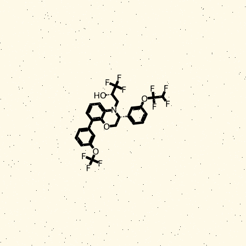 O[C@@H](CN1c2cccc(-c3cccc(OC(F)(F)F)c3)c2OC[C@H]1c1cccc(OC(F)(F)C(F)F)c1)C(F)(F)F